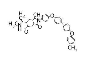 C=C(NC)C1CC2C(=C)N(c3ccc(Oc4ccc(-c5ccc(Oc6ccc(C)cc6)cc5)cc4)cc3)C(=O)C2CC1C=O